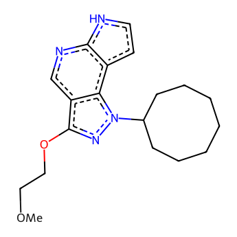 COCCOc1nn(C2CCCCCCC2)c2c1cnc1[nH]ccc12